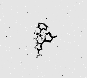 Cc1csc(-c2cc(C#N)nn2NS(=O)(=O)c2ccccc2)c1